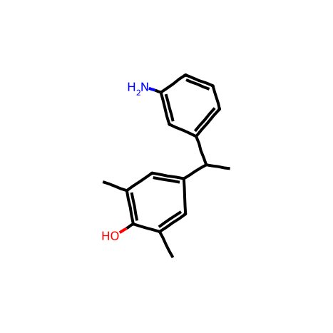 Cc1cc(C(C)c2cccc(N)c2)cc(C)c1O